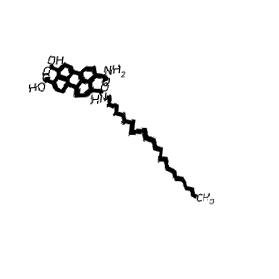 CCCCCCCCCCCCCCCCCCCCCCCNC(=O)c1ccc2c3ccc(C(=O)O)c4c(C(=O)O)ccc(c5ccc(C(N)=O)c1c52)c43